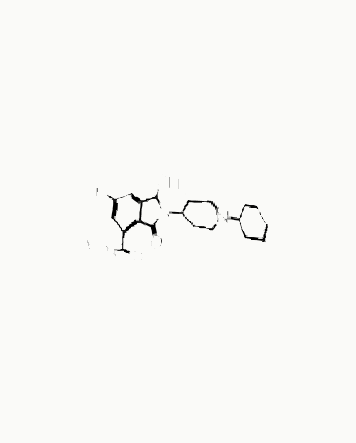 CC1c2cc(F)cc(C(N)=O)c2C(=O)N1C1CCN(C2CCCCC2)CC1